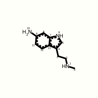 CNCCc1c[nH]c2cc(N)ccc12